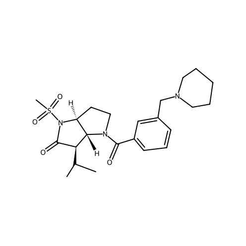 CC(C)[C@H]1C(=O)N(S(C)(=O)=O)[C@H]2CCN(C(=O)c3cccc(CN4CCCCC4)c3)[C@H]12